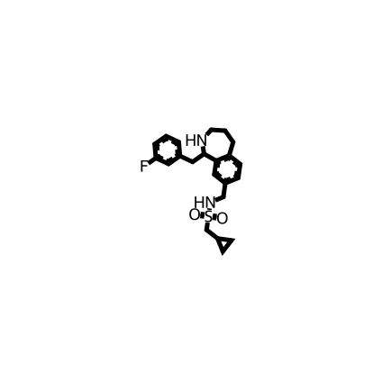 O=S(=O)(CC1CC1)NCc1ccc2c(c1)C(Cc1cccc(F)c1)NCCC2